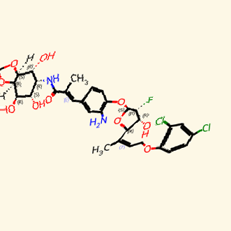 C/C(=C/COc1ccc(Cl)cc1Cl)[C@H]1O[C@@H](Oc2ccc(/C=C(\C)C(=O)N[C@@H]3[C@H](O)[C@@H](O)[C@H]4OCO[C@H]4[C@@H]3O)cc2N)[C@H](F)[C@@H]1O